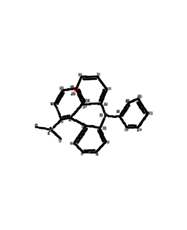 CN(C)C1=C(c2ccccc2P(c2ccccc2)c2ccccc2)CCC=C1